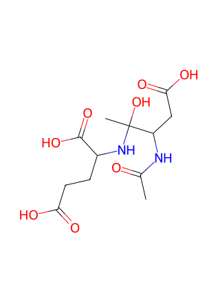 CC(=O)NC(CC(=O)O)C(C)(O)NC(CCC(=O)O)C(=O)O